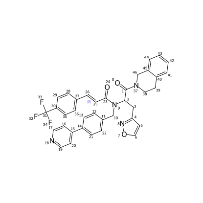 O=C(C(Cc1ccon1)N(Cc1ccc(-c2ccncc2)cc1)C(=O)/C=C/c1ccc(C(F)(F)F)cc1)N1CCc2ccccc2C1